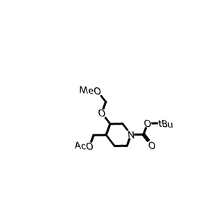 COCOC1CN(C(=O)OC(C)(C)C)CCC1COC(C)=O